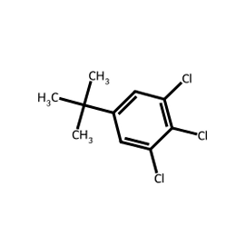 CC(C)(C)c1cc(Cl)c(Cl)c(Cl)c1